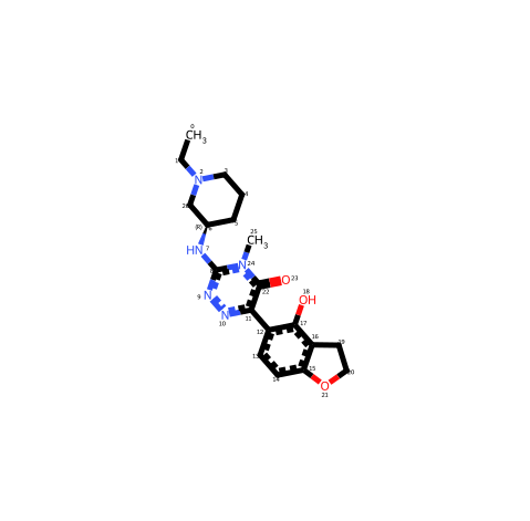 CCN1CCC[C@@H](Nc2nnc(-c3ccc4c(c3O)CCO4)c(=O)n2C)C1